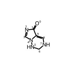 O=C1N=CN2NCNC=C12